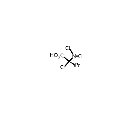 CC(C)[C@@](Cl)(C(=O)O)N(Cl)Cl